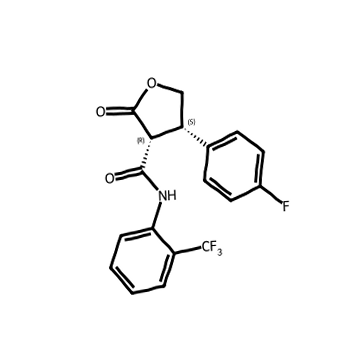 O=C(Nc1ccccc1C(F)(F)F)[C@@H]1C(=O)OC[C@@H]1c1ccc(F)cc1